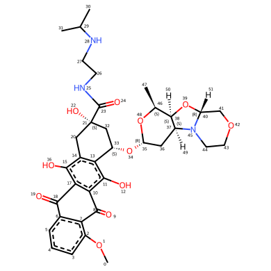 COc1cccc2c1C(=O)c1c(O)c3c(c(O)c1C2=O)C[C@@](O)(C(=O)NCCNC(C)C)C[C@@H]3O[C@H]1C[C@H]2[C@H](O[C@@H]3COCCN32)[C@H](C)O1